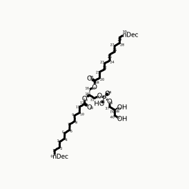 CCCCCCCCCCCCCCCCCCCCCC(=O)O[C@H](COC(=O)CCCCCCCCCCCCCCCCCCCC)COP(=O)(O)OC[C@@H](O)CO